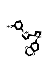 Oc1cccc(N2C=CC=C(c3ccnn3-c3ccc4c(c3)OCCO4)N2)c1